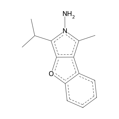 Cc1c2c(oc3ccccc32)c(C(C)C)n1N